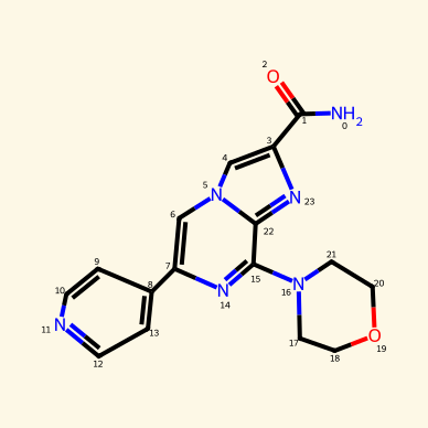 NC(=O)c1cn2cc(-c3ccncc3)nc(N3CCOCC3)c2n1